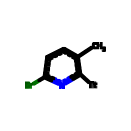 CCc1nc(Br)ccc1C